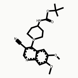 COc1cc2ncc(C#N)c(N3CCC(NC(=O)OC(C)(C)C)CC3)c2cc1OC